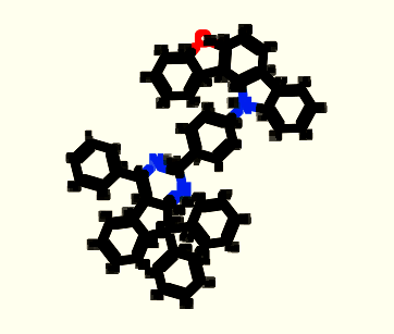 c1ccc(-c2nc(-c3ccc(-n4c5ccccc5c5ccc6oc7ccccc7c6c54)cc3)nc3c2-c2ccccc2[Si]3(c2ccccc2)c2ccccc2)cc1